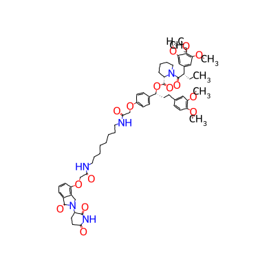 CC[C@H](C(=O)N1CCCC[C@H]1C(=O)O[C@H](CCc1ccc(OC)c(OC)c1)c1ccc(OCC(=O)NCCCCCCCCNC(=O)COc2cccc3c2CN(C2CCC(=O)NC2=O)C3=O)cc1)c1cc(OC)c(OC)c(OC)c1